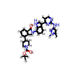 Cc1cnc(Nc2cc(C)n(C)n2)nc1-c1c[nH]c2c(N3Cc4c(cccc4C4=CCN(C(=O)OC(C)(C)C)CC4)C3=O)cccc12